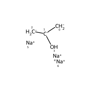 [CH2-][C-]([CH2-])O.[Na+].[Na+].[Na+]